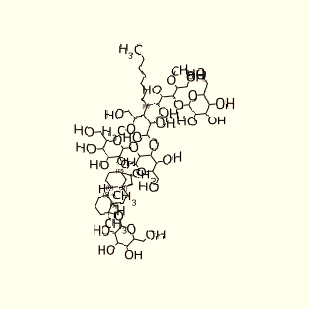 C=C1C[C@@]23CC[C@@H]4C(C)(OC5OC(CO)C(O)C(O)C5O)CCC[C@@]4(C)[C@@H]2CC[C@]1(OC1OC(CO)C(O)C(OC(O)C(O)C(C(CO)OC)[C@@H](CCCCCCC)C(O)C(O)C(OC2OC(CO)C(O)C(O)C2O)C(CO)OC)C1OC1OC(CO)C(O)C(O)C1O)C3